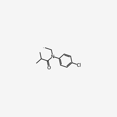 [CH2]CN(C(=O)C(C)C)c1ccc(Cl)cc1